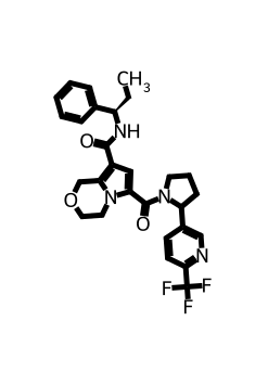 CC[C@@H](NC(=O)c1cc(C(=O)N2CCCC2c2ccc(C(F)(F)F)nc2)n2c1COCC2)c1ccccc1